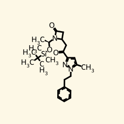 Cc1cc(C(=O)CC2CC(=O)N2[C@H](C)O[Si](C)(C)C(C)(C)C)nn1CCc1ccccc1